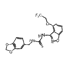 FC(F)(F)COc1cccc2onc(NC(=S)NCc3ccc4c(c3)OCO4)c12